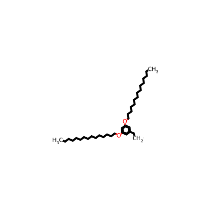 [CH2]Cc1cc(OCCCCCCCCCCCCCCC)cc(OCCCCCCCCCCCCCCC)c1